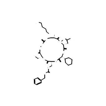 CCCCCC[C@H]1OC(=O)CNC(=O)[C@H](CN)NC(=O)[C@H](CNC(=O)OCc2ccccc2)NC(=O)[C@H](C2CCCCC2)NC(=O)[C@H](CC(C)C)N(C)C(=O)[C@@H]1C